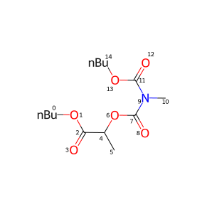 CCCCOC(=O)C(C)OC(=O)N(C)C(=O)OCCCC